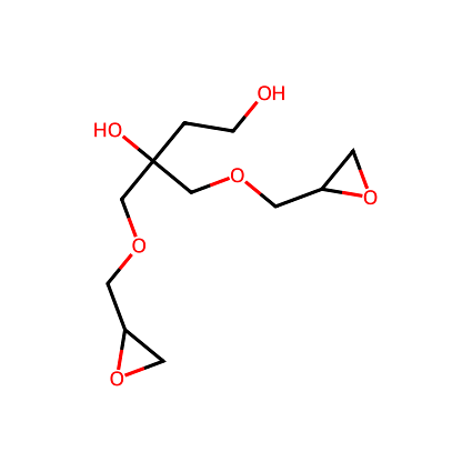 OCCC(O)(COCC1CO1)COCC1CO1